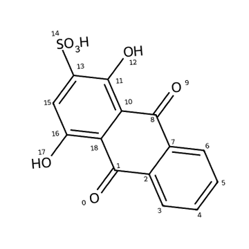 O=C1c2ccccc2C(=O)c2c(O)c(S(=O)(=O)O)cc(O)c21